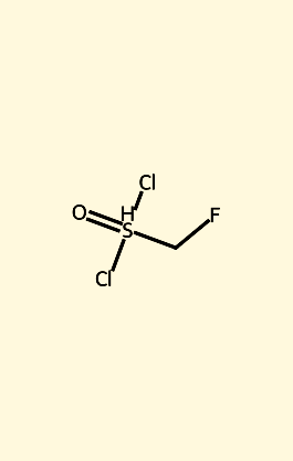 O=[SH](Cl)(Cl)CF